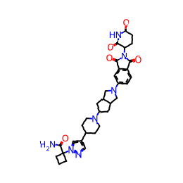 NC(=O)C1(n2cc(C3CCN(C4CC5CN(c6ccc7c(c6)C(=O)N(C6CCC(=O)NC6=O)C7=O)CC5C4)CC3)cn2)CCC1